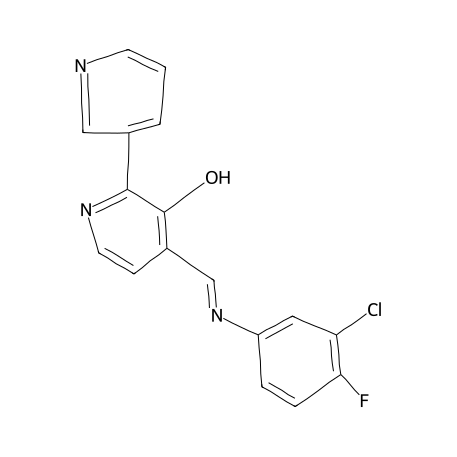 Oc1c(C=Nc2ccc(F)c(Cl)c2)ccnc1-c1cccnc1